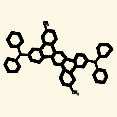 Cc1ccc2c(c1)c1cc(N(c3ccccc3)c3ccccc3)ccc1c1cc3c4ccc(C(F)(F)F)cc4c4cc(N(c5ccccc5)c5ccccc5)ccc4c3cc21